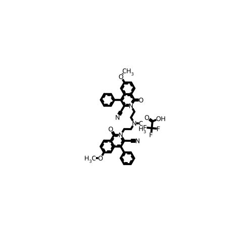 COc1ccc2c(=O)n(CCN(C)CCn3c(C#N)c(-c4ccccc4)c4cc(OC)ccc4c3=O)c(C#N)c(-c3ccccc3)c2c1.O=C(O)C(F)(F)F